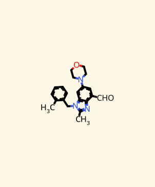 Cc1ccccc1Cn1c(C)nc2c(C=O)cc(N3CCOCC3)cc21